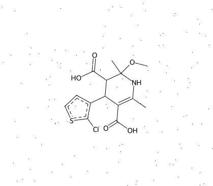 COC1(C)NC(C)=C(C(=O)O)C(c2ccsc2Cl)C1C(=O)O